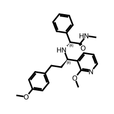 CNC(=O)[C@H](N[C@H](CCc1ccc(OC)cc1)c1cccnc1OC)c1ccccc1